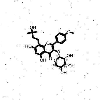 COc1ccc(-c2oc3c(CCC(C)(C)O)c(O)cc(O)c3c(=O)c2O[C@@H]2O[C@@H](C)[C@H](O)[C@@H](O)[C@H]2O)cc1